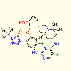 [2H]C([2H])([2H])n1nnn(-c2cc(Nc3ncc(F)c(N[C@@H]4C[C@@H]5CCCN5C(C)(C)C4)n3)c(F)cc2OC[C@H](C)O)c1=O